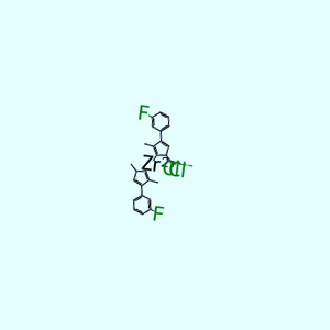 CC1=[C]([Zr+2][C]2=C(C)C(c3cccc(F)c3)=CC2C)C(C)C=C1c1cccc(F)c1.[Cl-].[Cl-]